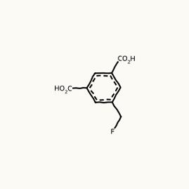 O=C(O)c1cc(CF)cc(C(=O)O)c1